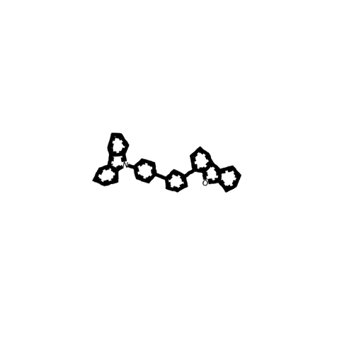 c1cc(-c2ccc(-n3c4ccccc4c4ccccc43)cc2)cc(-c2cccc3c2oc2ccccc23)c1